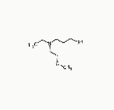 CCN(CCCO)CCOC